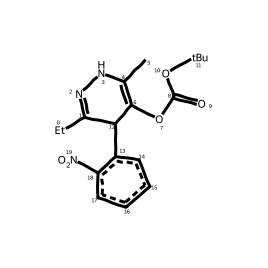 CCC1=NNC(C)=C(OC(=O)OC(C)(C)C)C1c1ccccc1[N+](=O)[O-]